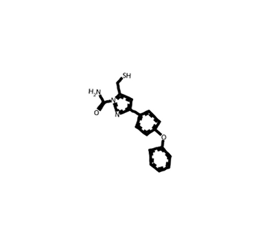 NC(=O)n1nc(-c2ccc(Oc3ccccc3)cc2)cc1CS